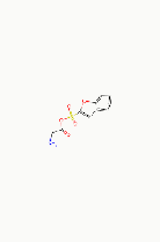 NCC(=O)OS(=O)(=O)c1cc2ccccc2o1